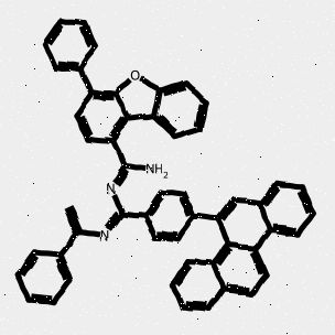 C=C(/N=C(\N=C(/N)c1ccc(-c2ccccc2)c2oc3ccccc3c12)c1ccc(-c2cc3ccccc3c3ccc4ccccc4c23)cc1)c1ccccc1